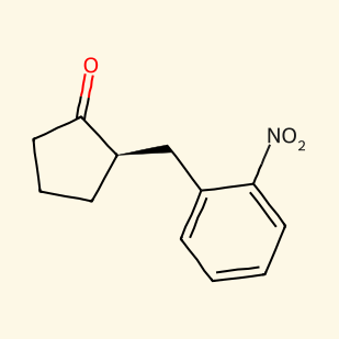 O=C1CCC[C@@H]1Cc1ccccc1[N+](=O)[O-]